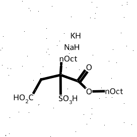 CCCCCCCCOC(=O)C(CCCCCCCC)(CC(=O)O)S(=O)(=O)O.[KH].[NaH]